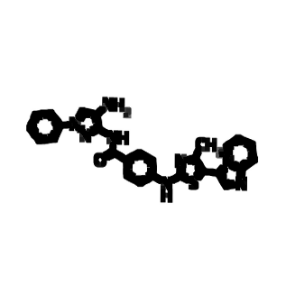 Cc1nc(Nc2ccc(C(=O)Nc3nn(-c4ccccc4)cc3N)cc2)sc1-c1cnc2ccccn12